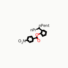 CCCCCC(CCC)c1ccccc1OC(=O)c1ccc([N+](=O)[O-])cc1